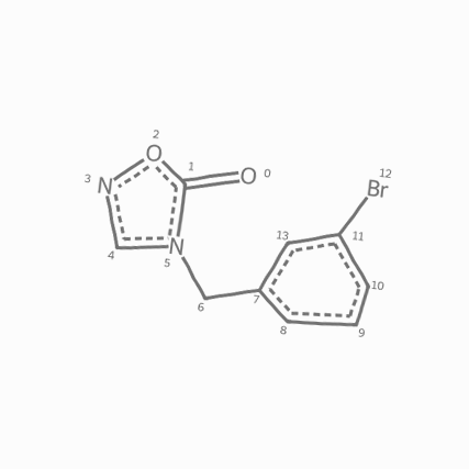 O=c1oncn1Cc1cccc(Br)c1